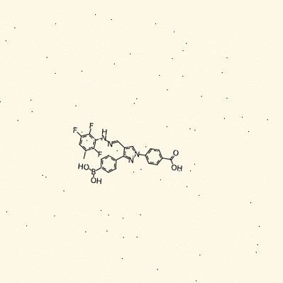 Cc1cc(F)c(F)c(N/N=C/c2cn(-c3ccc(C(=O)O)cc3)nc2-c2ccc(B(O)O)cc2)c1F